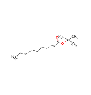 CC=CCCCCC=CC(=O)OC(C)(C)C